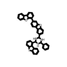 c1ccc(C2NC(c3ccc4oc5cc(-c6cccc7c6oc6ccccc67)ccc5c4c3)NC(c3cccc4sc5ccccc5c34)N2)cc1